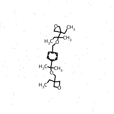 CCC1(COC(C)(C)c2ccc(COC(C)(CC)C3(CC)COC3)cc2)COC1